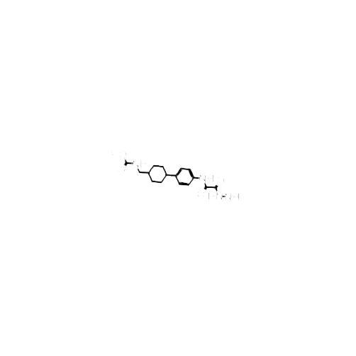 NNC(=O)C(=O)Nc1ccc(C2CCC(CNC(=O)O)CC2)cc1